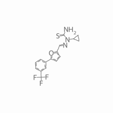 NC(=S)N(N=Cc1ccc(-c2cccc(C(F)(F)F)c2)o1)C1CC1